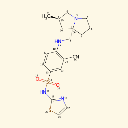 C[C@H]1CN2CCC[C@@]2(CNc2ccc(S(=O)(=O)Nc3nccs3)cc2C#N)C1